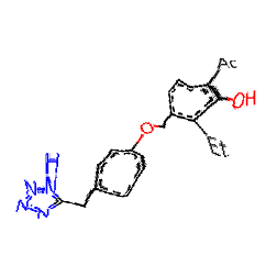 CCc1c(COc2ccc(Cc3nnn[nH]3)cc2)ccc(C(C)=O)c1O